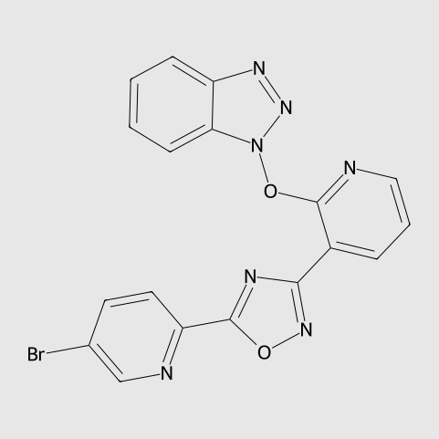 Brc1ccc(-c2nc(-c3cccnc3On3nnc4ccccc43)no2)nc1